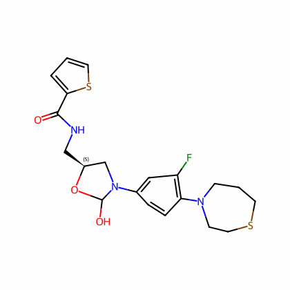 O=C(NC[C@H]1CN(c2ccc(N3CCCSCC3)c(F)c2)C(O)O1)c1cccs1